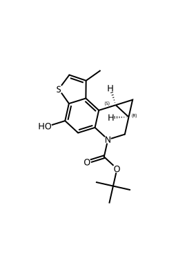 Cc1csc2c(O)cc3c(c12)[C@H]1C[C@H]1CN3C(=O)OC(C)(C)C